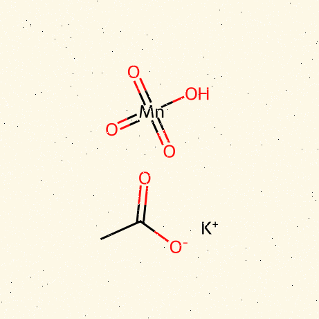 CC(=O)[O-].[K+].[O]=[Mn](=[O])(=[O])[OH]